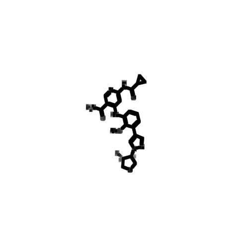 COc1c(Nc2cc(NC(=O)C3CC3)ncc2C(N)=O)cccc1-c1cnn([C@H]2COC[C@@H]2F)c1